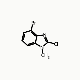 Cn1c(Cl)nc2c(Br)cccc21